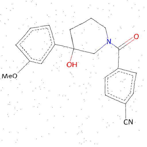 COc1cccc(C2(O)CCCN(C(=O)c3ccc(C#N)cc3)C2)c1